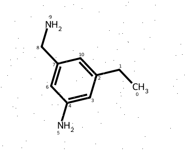 CCc1cc(N)cc(CN)c1